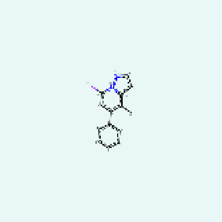 Cc1c(-c2ccccc2)cc(I)n2nccc12